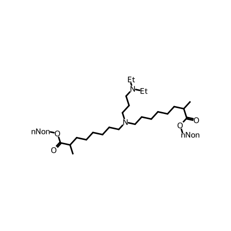 CCCCCCCCCOC(=O)C(C)CCCCCCN(CCCCCCC(C)C(=O)OCCCCCCCCC)CCCN(CC)CC